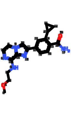 COCCNc1nccn2cc(-c3ccc(C(N)=O)c(C4CC4)c3)nc12